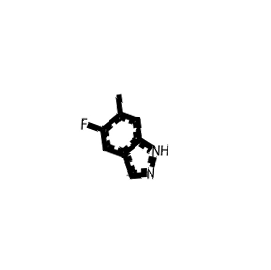 Cc1cc2[nH]n[c]c2cc1F